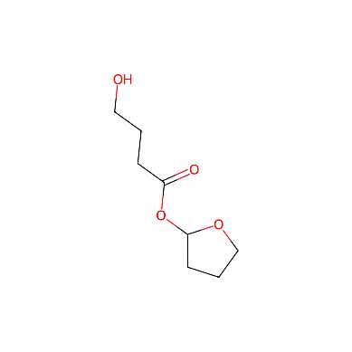 O=C(CCCO)OC1CCCO1